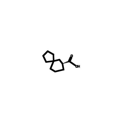 O=C(O)[C@@H]1CCCC2(CCCC2)C1